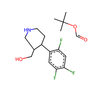 CC(C)(C)OC=O.OCC1CNCCC1c1cc(F)c(F)cc1F